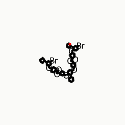 O=S(=O)(c1ccc(Oc2ccc(Oc3ccc(S(=O)(=O)c4ccc(Oc5cc(Br)cc(-c6ccccc6)c5)cc4)cc3)c(-c3ccccc3)c2)cc1)c1ccc(Oc2ccc(Br)cc2-c2ccccc2)cc1